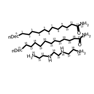 CCCCCCCCCCCCCCCCCCCCCC(N)=O.CCCCCCCCCCCCCCCCCCCCCC(N)=O.NCCNCCNCCN